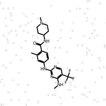 CNc1nc(Nc2ccc(C(=O)NC3CCN(C)CC3)c(C)c2)ncc1C(F)(F)F